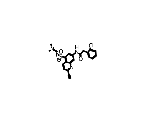 C#Cc1ccc2c(S(=O)(=O)/N=C/N(C)C)cc(NC(=O)Cc3ccccc3Cl)cc2n1